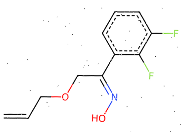 C=CCOCC(=NO)c1cccc(F)c1F